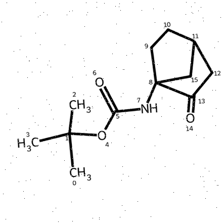 CC(C)(C)OC(=O)NC12CCC(CC1=O)C2